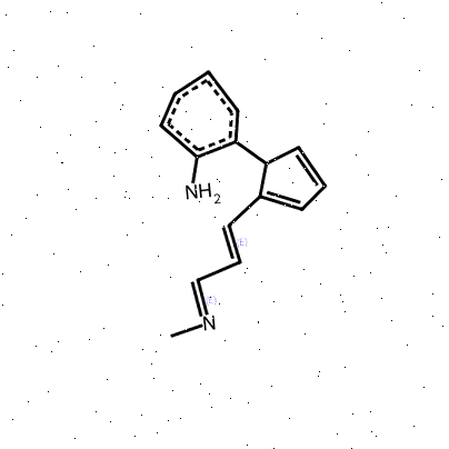 C/N=C/C=C/C1=CC=CC1c1ccccc1N